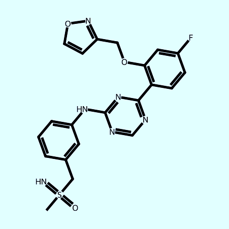 CS(=N)(=O)Cc1cccc(Nc2ncnc(-c3ccc(F)cc3OCc3ccon3)n2)c1